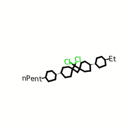 CCCCC[C@H]1CC[C@H](C2CCC3(CC2)CC2(CCC([C@H]4CC[C@H](CC)CC4)CC2)C3(Cl)Cl)CC1